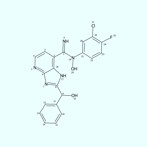 N=C(c1ccnc2nc(C(O)c3ccccc3)[nH]c12)N(O)c1ccc(F)c(Cl)c1